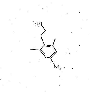 Cc1cc(N)nc(C)c1CCN